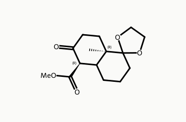 COC(=O)[C@H]1C(=O)CC[C@]2(C)C1CCCC21OCCO1